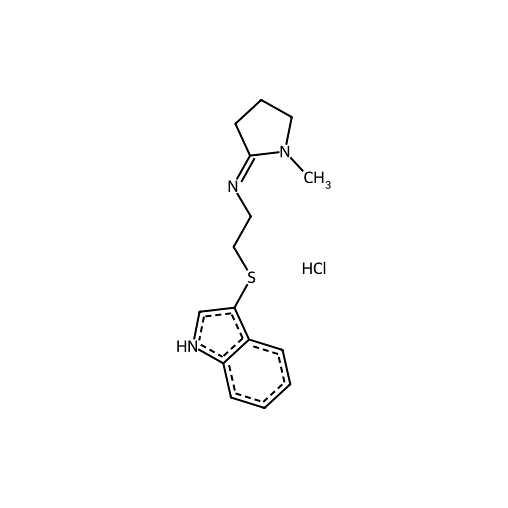 CN1CCCC1=NCCSc1c[nH]c2ccccc12.Cl